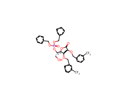 O=C1O[C@H]([C@H](CO)OP(=O)(OCc2ccccc2)OCc2ccccc2)C(OCc2cccc(C(F)(F)F)c2)=C1OCc1cccc(C(F)(F)F)c1